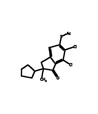 CC(=O)Sc1cc2c(c(Cl)c1Cl)C(=O)C(C)(C1CCCC1)C2